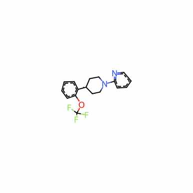 FC(F)(F)Oc1ccccc1[C]1CCN(c2ccccn2)CC1